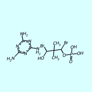 CC(C)(C(O)Br)C(Br)OP(=O)(O)O.Nc1nc(N)nc(N)n1